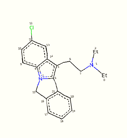 CCN(CC)CCc1c2n(c3ccc(Cl)cc13)Cc1ccccc1-2